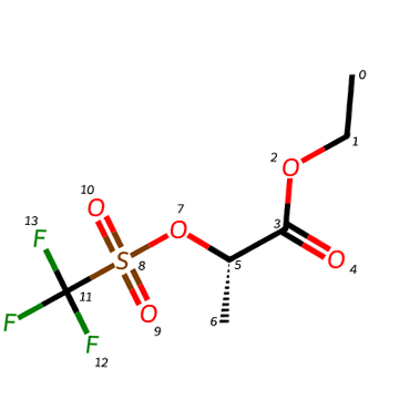 CCOC(=O)[C@H](C)OS(=O)(=O)C(F)(F)F